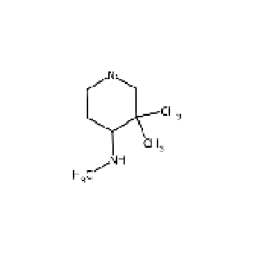 CNC1CC[N]CC1(C)C